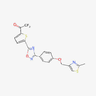 Cc1nc(COc2ccc(-c3noc(-c4ccc(C(=O)C(F)(F)F)s4)n3)cc2)cs1